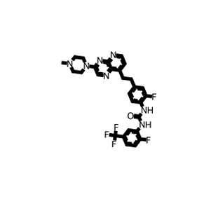 CN1CCN(c2cnc3c(CCc4ccc(NC(=O)Nc5cc(C(F)(F)F)ccc5F)c(F)c4)ccnc3n2)CC1